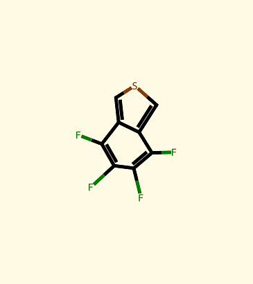 Fc1c(F)c(F)c2cscc2c1F